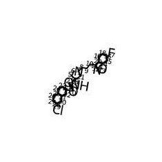 O=S(=O)(N[C@@H]1CCN(CCCc2noc3cc(F)ccc23)C1)c1ccc2ccc(Cl)cc2c1